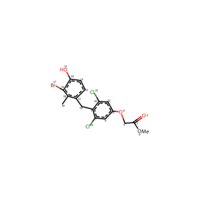 COC(=O)COc1cc(Cl)c(Cc2ccc(O)c(Br)c2C)c(Cl)c1